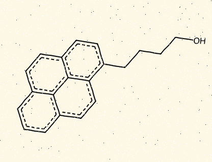 OCCCCc1ccc2ccc3cccc4ccc1c2c34